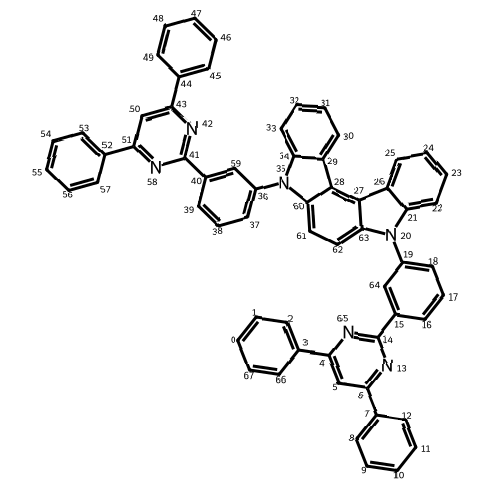 c1ccc(-c2cc(-c3ccccc3)nc(-c3cccc(-n4c5ccccc5c5c6c7ccccc7n(-c7cccc(-c8nc(-c9ccccc9)cc(-c9ccccc9)n8)c7)c6ccc54)c3)n2)cc1